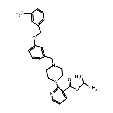 Cc1cccc(COc2cccc(CN3CCN(c4ncccc4C(=O)OC(C)C)CC3)c2)c1